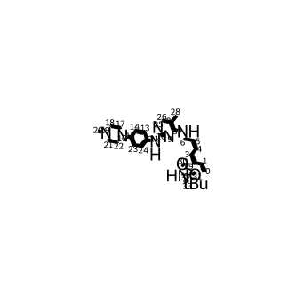 C=C/C(=C\C=C/CNc1nc(Nc2ccc(N3CCN(C)CC3)cc2)ncc1C)S(=O)(=O)NC(C)(C)C